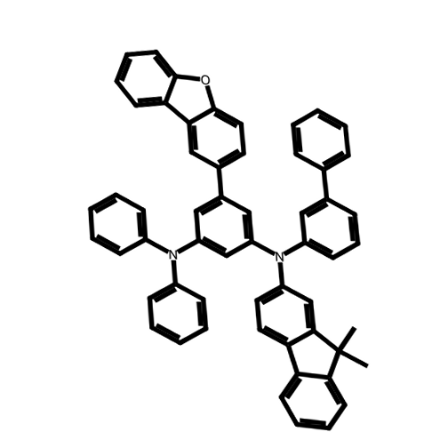 CC1(C)c2ccccc2-c2ccc(N(c3cccc(-c4ccccc4)c3)c3cc(-c4ccc5oc6ccccc6c5c4)cc(N(c4ccccc4)c4ccccc4)c3)cc21